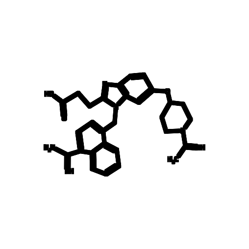 CC(=N)N1CCC(Oc2ccc3nc(CCC(=O)O)n(Cc4ccc(C(=N)N)c5ccccc45)c3c2)CC1